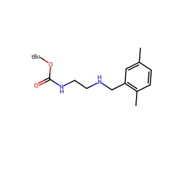 Cc1ccc(C)c(CNCCNC(=O)OC(C)(C)C)c1